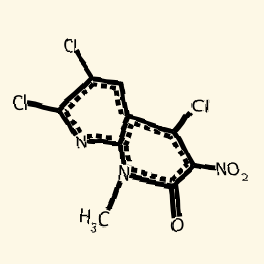 Cn1c(=O)c([N+](=O)[O-])c(Cl)c2cc(Cl)c(Cl)nc21